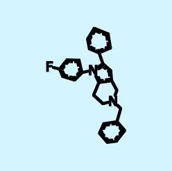 Fc1ccc(-n2c(-c3ccccc3)cc3c2CCN(Cc2ccccc2)C3)cc1